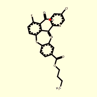 CCCCOC(=O)c1ccc2c(c1)N=C(c1ccc(Cl)cn1)c1c(ccc(F)c1C(N)=O)S2